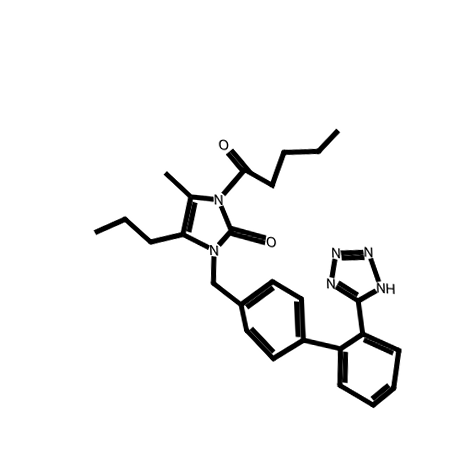 CCCCC(=O)n1c(C)c(CCC)n(Cc2ccc(-c3ccccc3-c3nnn[nH]3)cc2)c1=O